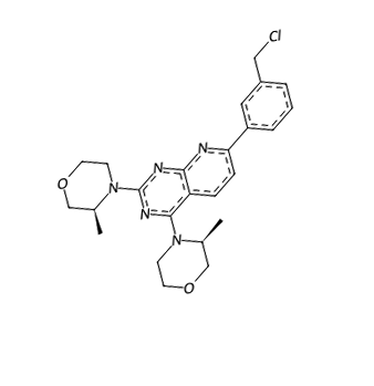 C[C@H]1COCCN1c1nc(N2CCOC[C@@H]2C)c2ccc(-c3cccc(CCl)c3)nc2n1